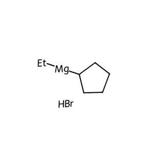 Br.C[CH2][Mg][CH]1CCCC1